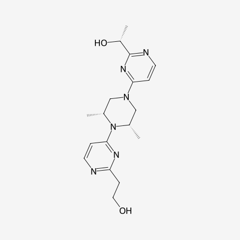 C[C@@H]1CN(c2ccnc([C@@H](C)O)n2)C[C@H](C)N1c1ccnc(CCO)n1